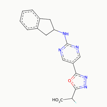 O=C(O)C(F)c1nnc(-c2cnc(NC3Cc4ccccc4C3)nc2)o1